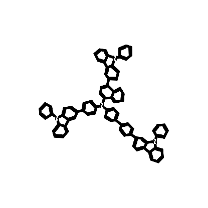 c1ccc(-n2c3ccccc3c3cc(-c4ccc(N(c5ccc(-c6ccc(-c7ccc8c9ccccc9n(-c9ccccc9)c8c7)cc6)cc5)c5ccc(-c6ccc7c(c6)c6ccccc6n7-c6ccccc6)c6ccccc56)cc4)ccc32)cc1